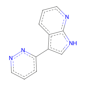 c1cnnc(-c2c[nH]c3ncccc23)c1